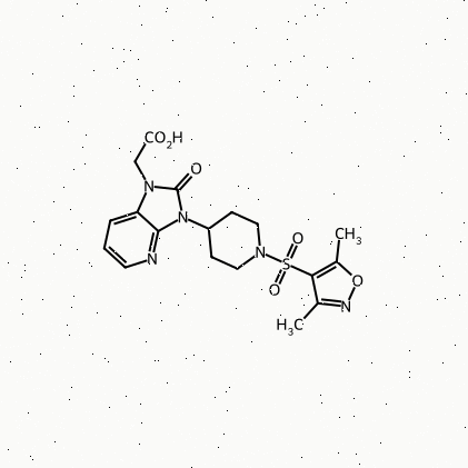 Cc1noc(C)c1S(=O)(=O)N1CCC(n2c(=O)n(CC(=O)O)c3cccnc32)CC1